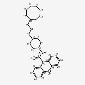 O=C(NC1CCN(CCCC2CCCCCCC2)CC1)C1c2ccccc2Oc2ccccc21